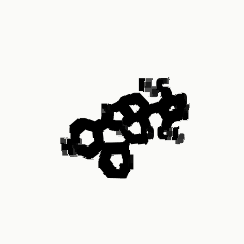 Cc1noc(C)c1-c1ccc2nc(C3CCNCC3)n3c2c1OC[C@@H]3c1ccccn1